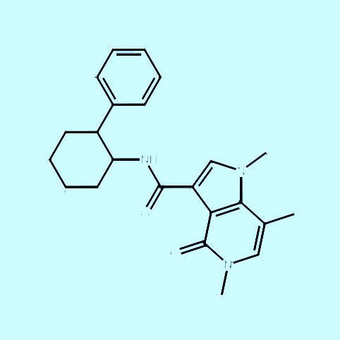 Cc1cn(C)c(=O)c2c(C(=O)NC3CCCCC3c3ccccc3)cn(C)c12